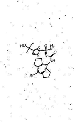 CC(C)(O)c1cnc(S(N)(=O)=NC(=O)Nc2c3c(c(Br)c4c2CCC4)CCC3)s1